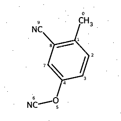 Cc1ccc(OC#N)cc1C#N